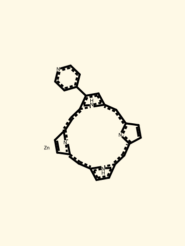 C1=Cc2cc3cc(-c4ccncc4)c(cc4nc(cc5ccc(cc1n2)[nH]5)C=C4)[nH]3.[Zn]